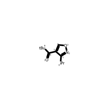 CC(C)c1nocc1C(=O)C(C)(C)C